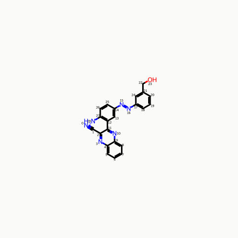 N#Cc1nc2ccccc2nc1-c1cc(N=Nc2cccc(CO)c2)ccc1N